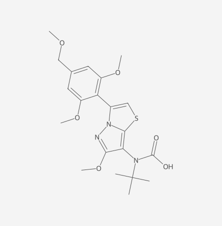 COCc1cc(OC)c(-c2csc3c(N(C(=O)O)C(C)(C)C)c(OC)nn23)c(OC)c1